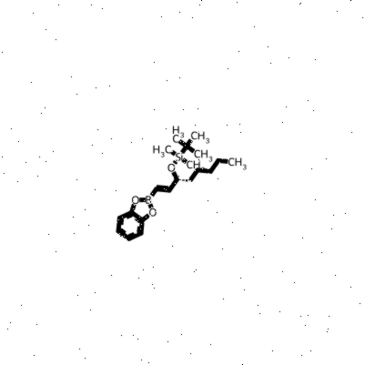 CCCCC[C@H](/C=C/B1Oc2ccccc2O1)O[Si](C)(C)C(C)(C)C